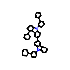 c1ccc(-c2cccc(-n3c4ccccc4c4cc(-c5ccc6c(c5)c5c(-c7ccccc7)cccc5n6-c5cccc(-c6ccccc6)c5)ccc43)c2)cc1